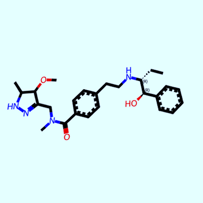 CC[C@@H](NCCc1ccc(C(=O)N(C)CC2=NNC(C)C2OC)cc1)[C@H](O)c1ccccc1